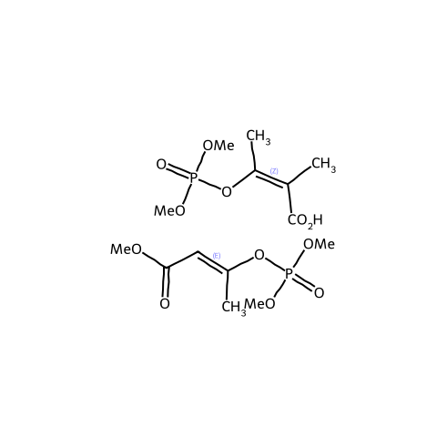 COC(=O)/C=C(\C)OP(=O)(OC)OC.COP(=O)(OC)O/C(C)=C(/C)C(=O)O